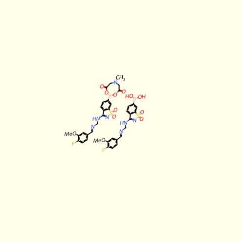 COc1cc(/C=N/CNC2=NS(=O)(=O)c3cc(B(O)O)ccc32)ccc1F.COc1cc(/C=N/CNC2=NS(=O)(=O)c3cc(B4OC(=O)CN(C)CC(=O)O4)ccc32)ccc1F